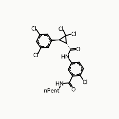 CCCCCNC(=O)c1cc(NC(=O)[C@@H]2[C@@H](c3cc(Cl)cc(Cl)c3)C2(Cl)Cl)ccc1Cl